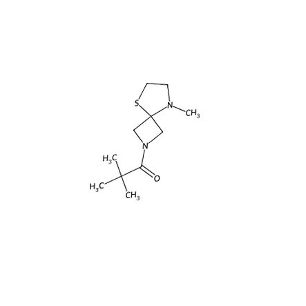 CN1CCSC12CN(C(=O)C(C)(C)C)C2